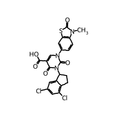 Cn1c(=O)sc2cc(-n3cc(C(=O)O)c(=O)n(C4CCc5c(Cl)cc(Cl)cc54)c3=O)ccc21